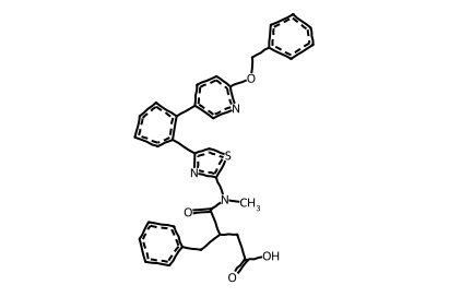 CN(C(=O)C(CC(=O)O)Cc1ccccc1)c1nc(-c2ccccc2-c2ccc(OCc3ccccc3)nc2)cs1